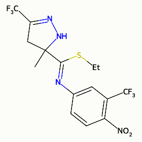 CCSC(=Nc1ccc([N+](=O)[O-])c(C(F)(F)F)c1)C1(C)CC(C(F)(F)F)=NN1